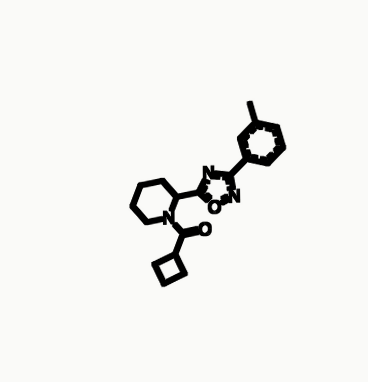 Cc1cccc(-c2noc(C3CCCCN3C(=O)C3CCC3)n2)c1